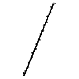 CCOC(CCNC(=O)CCCCCOC(=O)CCCCCOC(=O)CCCCCOC(=O)CCCCCOC(=O)CCCCCOC(=O)CCCCCOC(=O)CCCCCOC(=O)CCCCCOC(=O)CCCCCOC(=O)CCCCCOC(=O)CCCCCOC(=O)CCCCCOC(=O)CCCCCOC(=O)CCCCCOC(=O)CCCCCO)OCC